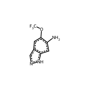 Nc1cc2[nH]ncc2cc1OC(F)(F)F